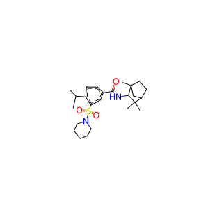 CC(C)c1ccc(C(=O)NC2C3(C)CCC(C3)C2(C)C)cc1S(=O)(=O)N1CCCCC1